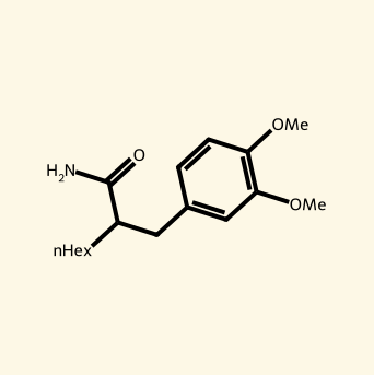 CCCCCCC(Cc1ccc(OC)c(OC)c1)C(N)=O